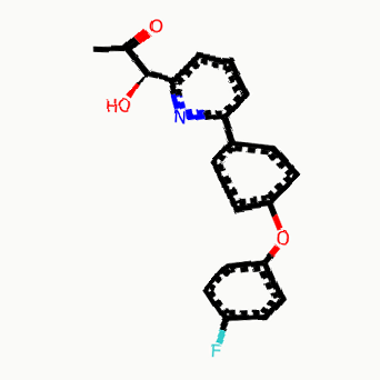 CC(=O)[C@H](O)c1cccc(-c2ccc(Oc3ccc(F)cc3)cc2)n1